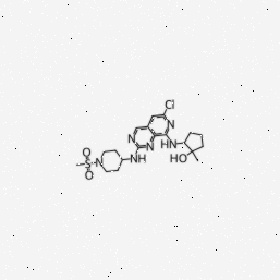 CC1(O)CCCC1Nc1nc(Cl)cc2cnc(NC3CCN(S(C)(=O)=O)CC3)nc12